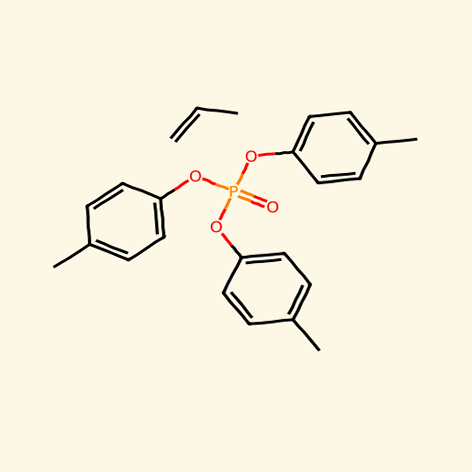 C=CC.Cc1ccc(OP(=O)(Oc2ccc(C)cc2)Oc2ccc(C)cc2)cc1